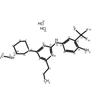 CCCc1cc(N2CCC[C@@H](NC)C2)nc(Nc2ccc(N)c(C(F)(F)F)c2)n1.Cl.Cl